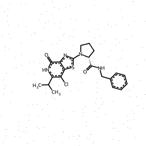 CC(C)c1[nH]c(=O)c2nc(N3CCC[C@@H]3C(=O)NCc3ccccc3)sc2c1Cl